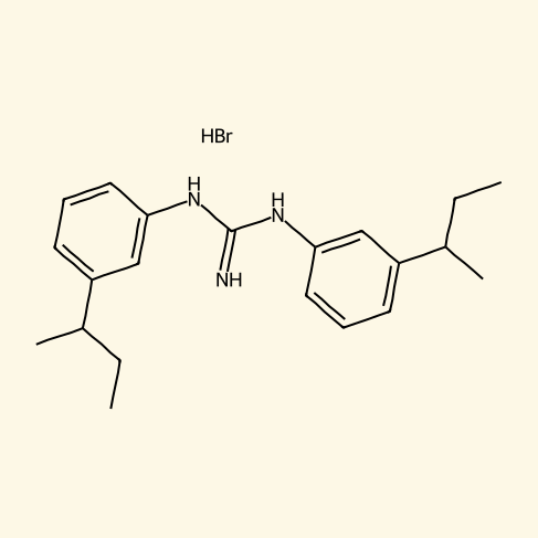 Br.CCC(C)c1cccc(NC(=N)Nc2cccc(C(C)CC)c2)c1